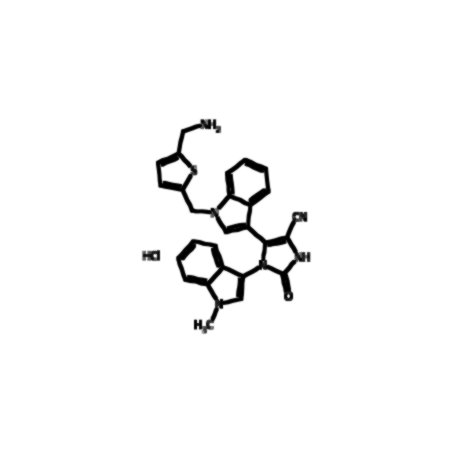 Cl.Cn1cc(-n2c(-c3cn(Cc4ccc(CN)s4)c4ccccc34)c(C#N)[nH]c2=O)c2ccccc21